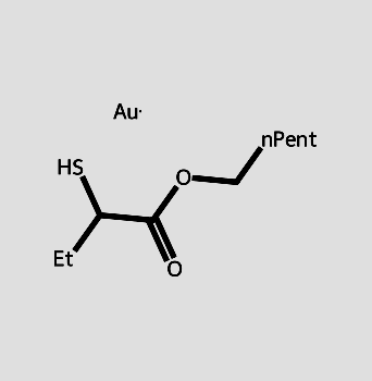 CCCCCCOC(=O)C(S)CC.[Au]